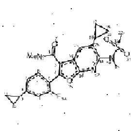 CNC(=O)c1c(-c2ccc(C3CC3)cc2F)oc2nc(N(C)S(C)(=O)=O)c(C3CC3)cc12